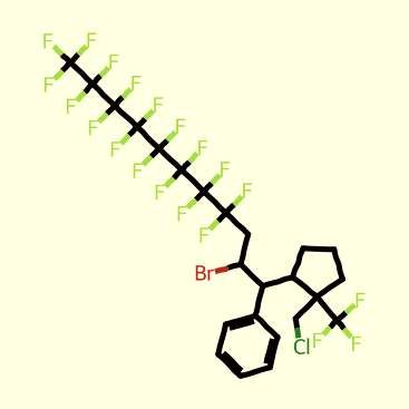 FC(F)(F)C1(CCl)CCCC1C(c1ccccc1)C(Br)CC(F)(F)C(F)(F)C(F)(F)C(F)(F)C(F)(F)C(F)(F)C(F)(F)C(F)(F)F